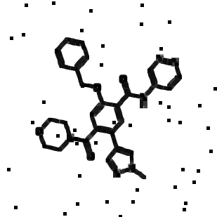 Cn1cc(-c2cc(C(=O)Nc3ccnnc3)c(OCc3ccccc3)cc2C(=O)N2CCOCC2)cn1